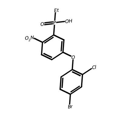 CCP(=O)(O)c1cc(Oc2ccc(Br)cc2Cl)ccc1[N+](=O)[O-]